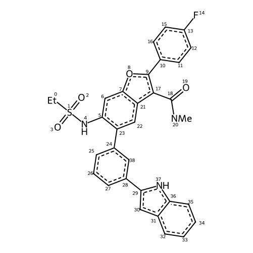 CCS(=O)(=O)Nc1cc2oc(-c3ccc(F)cc3)c(C(=O)NC)c2cc1-c1cccc(-c2cc3ccccc3[nH]2)c1